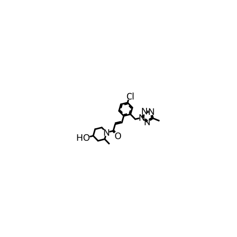 Cc1nnn(Cc2cc(Cl)ccc2C=CC(=O)N2CCC(O)CC2C)n1